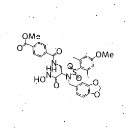 COC(=O)c1ccc(C(=O)NC[C@H](C(=O)NO)N(Cc2ccc3c(c2)OCO3)S(=O)(=O)c2c(C)cc(OC)cc2C)cc1